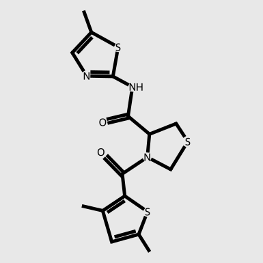 Cc1cnc(NC(=O)C2CSCN2C(=O)c2sc(C)cc2C)s1